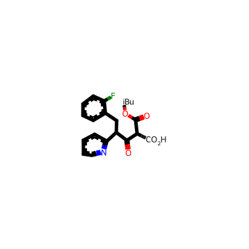 CCC(C)OC(=O)C(C(=O)O)C(=O)C(Cc1ccccc1F)c1ccccn1